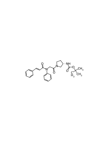 CC(C)(C)OC(=O)N[C@H]1CCN(C(=O)CN(C(=O)/C=C/c2ccccc2)c2ccccc2)C1